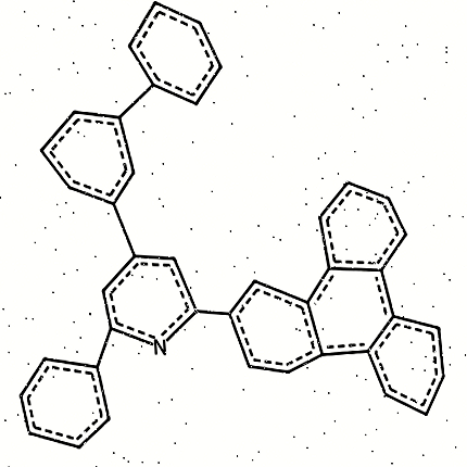 c1ccc(-c2cccc(-c3cc(-c4ccccc4)nc(-c4ccc5c6ccccc6c6ccccc6c5c4)c3)c2)cc1